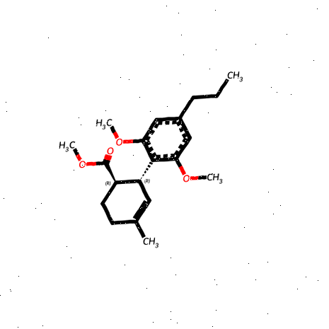 CCCc1cc(OC)c([C@@H]2C=C(C)CC[C@H]2C(=O)OC)c(OC)c1